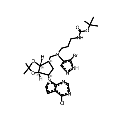 CC(C)(C)OC(=O)NCCCN(C[C@H]1C[C@@H](n2ccc3c(Cl)ncnc32)[C@@H]2OC(C)(C)O[C@H]12)c1cn[nH]c1Br